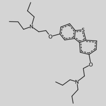 CCCN(CCC)CCOc1ccc2sc3ccc(OCCN(CCC)CCC)cc3c2c1